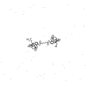 C=CCN1CC[C@]23c4c5ccc(OC(=O)CCCCC(=O)Oc6ccc7c8c6O[C@H]6C(=O)CC[C@@]9(O)[C@@H](C7)N(CC7CC7)CC[C@]869)c4O[C@H]2C(=O)CC[C@@]3(O)[C@H]1C5